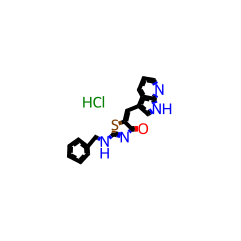 Cl.O=C1N=C(NCc2ccccc2)S/C1=C/c1c[nH]c2ncccc12